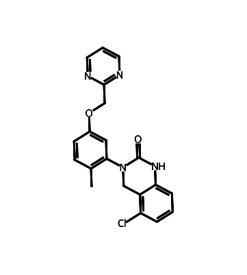 Cc1ccc(OCc2ncccn2)cc1N1Cc2c(Cl)cccc2NC1=O